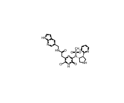 CS(=O)(=O)N(c1nc(CC(=O)NCc2cnc3[nH]ccc3c2)c(Cl)[nH]c1=O)[C@H]1CNC[C@@H]1c1ccccn1